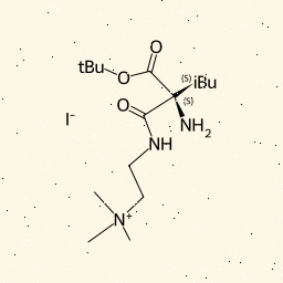 CC[C@H](C)[C@](N)(C(=O)NCC[N+](C)(C)C)C(=O)OC(C)(C)C.[I-]